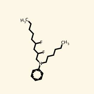 CCCCCCN(CC(F)CC(F)CCCCC)c1ccccc1